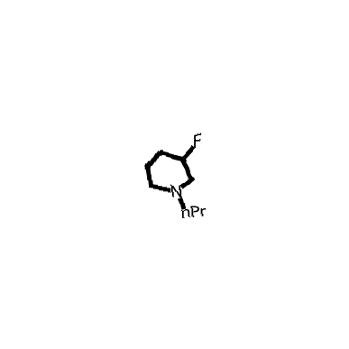 CCCN1CCCC(F)C1